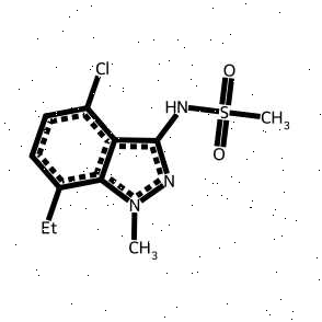 CCc1ccc(Cl)c2c(NS(C)(=O)=O)nn(C)c12